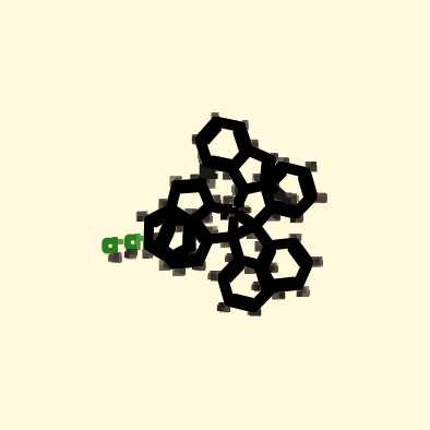 CCC1=Cc2ccccc2[CH]1[Zr+2]1([CH]2C(CC)=Cc3ccccc32)[C](c2ccccc2)(c2ccccc2)[C]1(c1ccccc1)c1ccccc1.[Cl-].[Cl-]